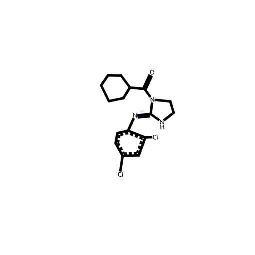 O=C(C1CCCCC1)N1CCN/C1=N\c1ccc(Cl)cc1Cl